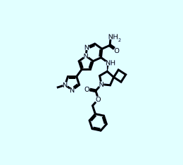 Cn1cc(-c2cc3c(N[C@@H]4CN(C(=O)OCc5ccccc5)CC45CCC5)c(C(N)=O)cnn3c2)cn1